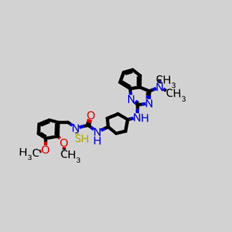 COc1cccc(CN(S)C(=O)NC2CCC(Nc3nc(N(C)C)c4ccccc4n3)CC2)c1OC